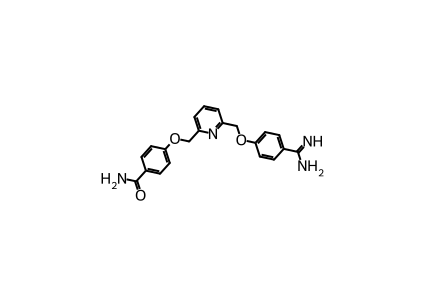 N=C(N)c1ccc(OCc2cccc(COc3ccc(C(N)=O)cc3)n2)cc1